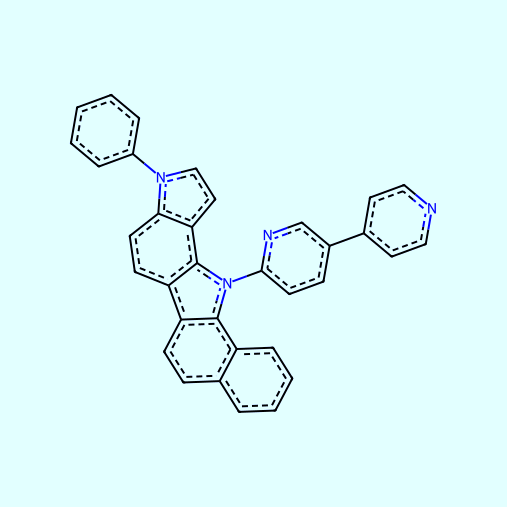 c1ccc(-n2ccc3c2ccc2c4ccc5ccccc5c4n(-c4ccc(-c5ccncc5)cn4)c23)cc1